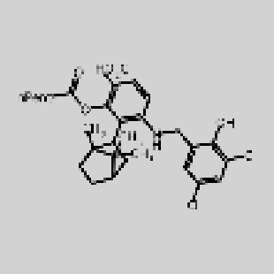 CCCCCC(=O)Oc1c(C(=O)O)ccc(NCc2cc(Cl)cc(Cl)c2O)c1C1CC2CCC1(C)C2(C)C